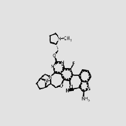 CN1CCC[C@H]1COc1nc2c3c(c(Cl)c(-c4cccc5sc(N)c(C#N)c45)c(F)c3n1)OCC1C3CCC(CN21)N3